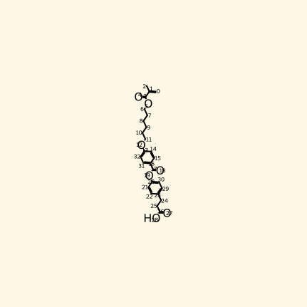 C=C(C)C(=O)OCCCCCCOc1ccc(C(=O)Oc2ccc(CCC(=O)O)cc2)cc1